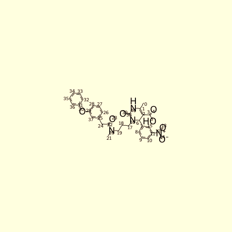 CC1=C(C(=O)O)C(c2cccc([N+](=O)[O-])c2)N(CCCN(C)C(=O)Cc2cccc(Oc3ccccc3)c2)C(=O)N1